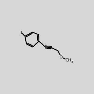 COCC#Cc1ccc(I)cc1